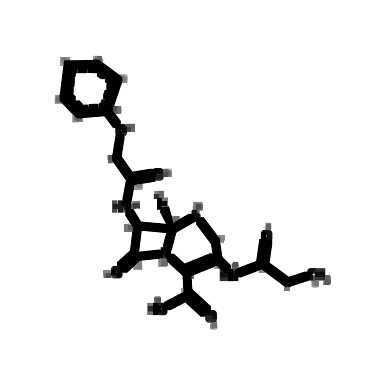 CCC(=O)NC1=C(C(=O)O)N2C(=O)C(NC(=O)COc3ccccc3)[C@@H]2SC1